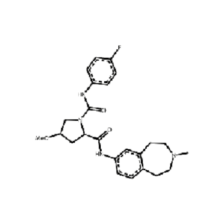 COC1C[C@H](C(=O)Nc2ccc3c(c2)CCN(C)CC3)N(C(=O)Nc2ccc(F)cc2)C1